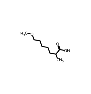 COCCCCCC(C)C(=O)O